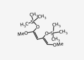 COC=C(C=C(OC)O[Si](C)(C)C)O[Si](C)(C)C